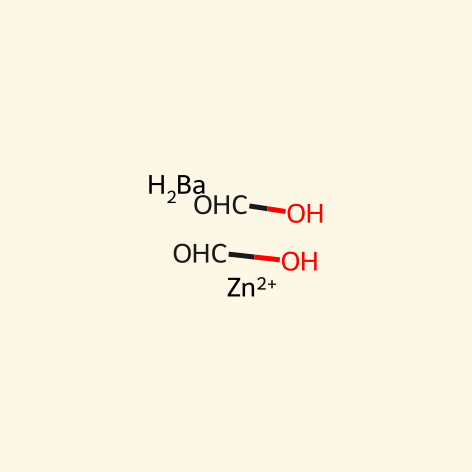 O=[C-]O.O=[C-]O.[BaH2].[Zn+2]